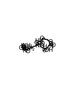 COC1/C=C\C=C(/C)C(=O)NC2=CC(=O)C(NCCCCCCNC(=O)c3ncn(C(=O)N(C)N)c3N)=C(C[C@@H](C)CC(OC)C(O)[C@@H](C)/C=C(\C)C1OC(N)=O)C2=O